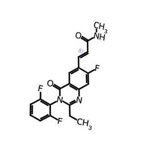 CCc1nc2cc(F)c(/C=C/C(=O)NC)cc2c(=O)n1-c1c(F)cccc1F